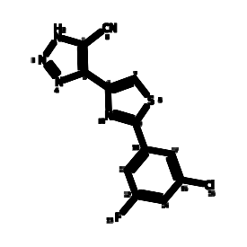 N#Cc1[nH]nnc1-c1csc(-c2cc(F)cc(Cl)c2)n1